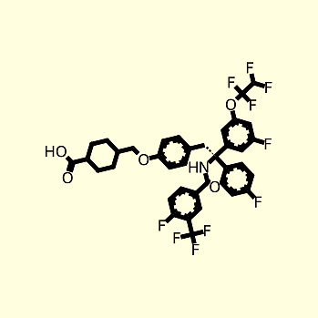 O=C(N[C@](Cc1ccc(OCC2CCC(C(=O)O)CC2)cc1)(c1ccc(F)cc1)c1cc(F)cc(OC(F)(F)C(F)F)c1)c1ccc(F)c(C(F)(F)F)c1